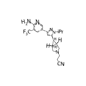 CC(C)n1nc(-c2cnc(N)c(C(F)(F)F)c2)cc1[C@H]1[C@@H]2CN(CCC#N)C[C@@H]21